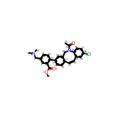 COC(=O)c1cc(CN(C)C)ccc1-c1ccc2c(c1)CN(C(C)=O)c1ccc(Cl)cc1/C=C\2